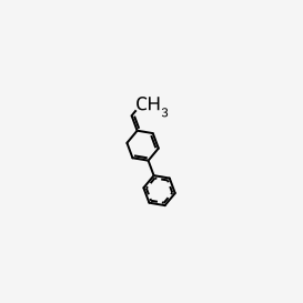 CC=C1C=CC(c2ccccc2)=CC1